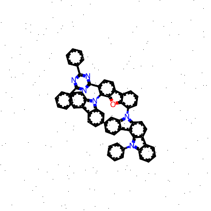 c1ccc(-c2nc(-c3ccccc3)nc(-c3ccc4c(oc5c(-n6c7ccccc7c7c6ccc6c8ccccc8n(-c8ccccc8)c67)cccc54)c3-n3c4ccccc4c4ccccc43)n2)cc1